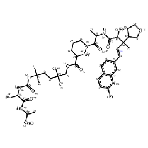 CCc1ccc2ccc(/C=C/C(C)(C3CCOC3)C(C(=O)NC(C)C(=O)N3CCCC(C(=O)OCC(Cl)(Cl)CCC(C)(C)OC(=O)NC(C(=O)NC(C)C=O)C(C)C)N3)C(C)C)cc2n1